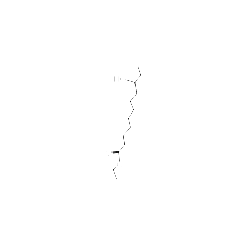 CCOC(=O)CCCCCCCC(O)CC